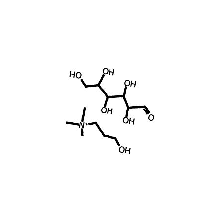 C[N+](C)(C)CCCO.O=CC(O)C(O)C(O)C(O)CO